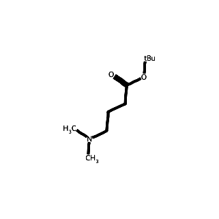 CN(C)CCCC(=O)OC(C)(C)C